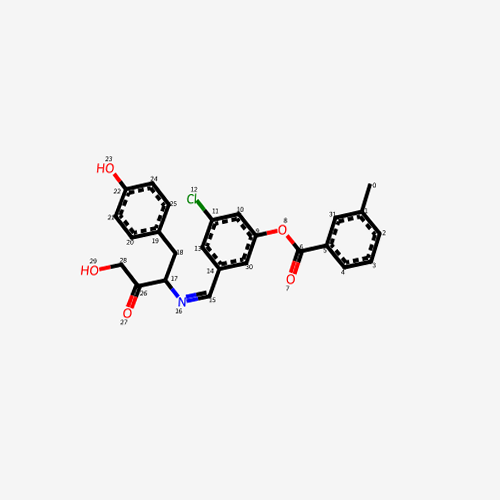 Cc1cccc(C(=O)Oc2cc(Cl)cc(/C=N\C(Cc3ccc(O)cc3)C(=O)CO)c2)c1